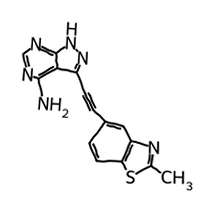 Cc1nc2cc(C#Cc3n[nH]c4ncnc(N)c34)ccc2s1